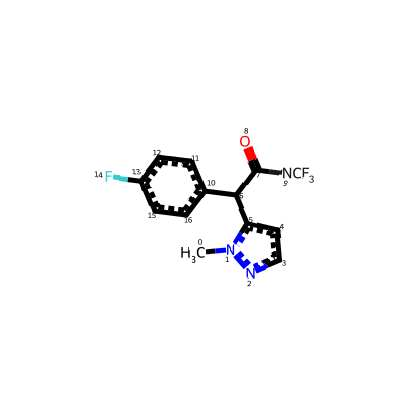 Cn1nccc1C(C(=O)NC(F)(F)F)c1ccc(F)cc1